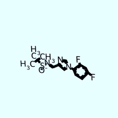 CC(C)(C)[S+]([O-])/N=C/c1cn(-c2ccc(F)cc2F)cn1